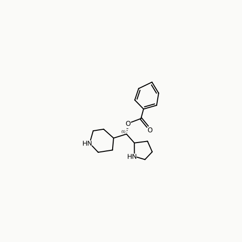 O=C(O[C@@H](C1CCNCC1)C1CCCN1)c1ccccc1